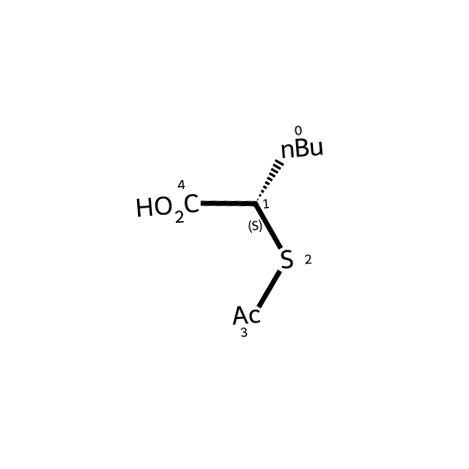 CCCC[C@H](SC(C)=O)C(=O)O